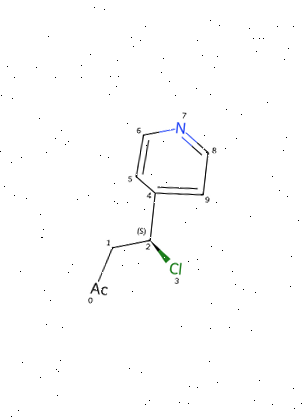 CC(=O)C[C@H](Cl)c1ccncc1